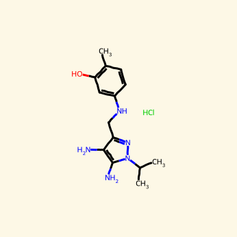 Cc1ccc(NCc2nn(C(C)C)c(N)c2N)cc1O.Cl